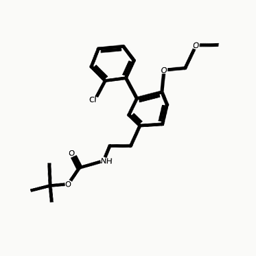 COCOc1ccc(CCNC(=O)OC(C)(C)C)cc1-c1ccccc1Cl